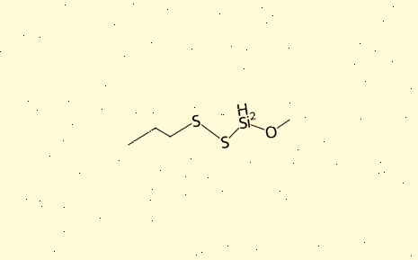 CCCSS[SiH2]OC